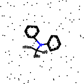 CCCCCCC(CCC)(CCCC)N(c1ccccc1)c1ccccc1